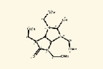 COCN1C(=O)N(COC)C2C1N(COC)C(O)N2COC